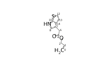 C=CCOC(=O)Cc1c[nH]c2sccc12